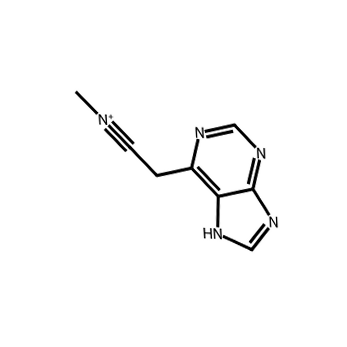 C[N+]#CCc1ncnc2nc[nH]c12